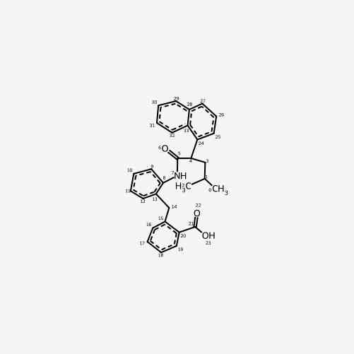 CC(C)CC(C(=O)Nc1ccccc1Cc1ccccc1C(=O)O)c1cccc2ccccc12